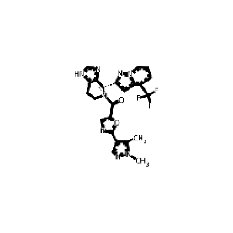 Cc1c(-c2ncc(C(=O)N3CCc4[nH]cnc4[C@@H]3c3cc4c(C(F)(F)F)cccn4n3)o2)cnn1C